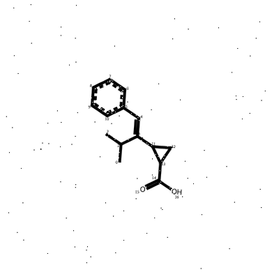 CC(C)/C(=C\c1ccccc1)C1CC1C(=O)O